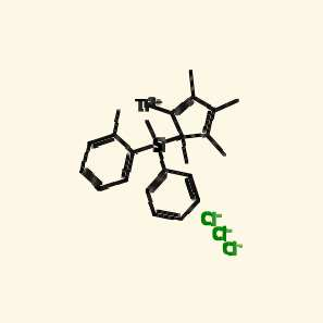 CC1=C(C)C(C)([Si](C)(c2ccccc2)c2ccccc2C)[C]([Ti+3])=C1C.[Cl-].[Cl-].[Cl-]